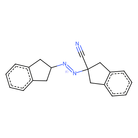 N#CC1(/N=N/C2Cc3ccccc3C2)Cc2ccccc2C1